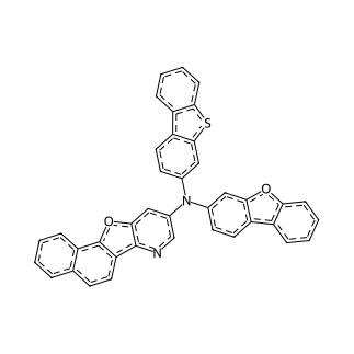 c1ccc2c(c1)ccc1c3ncc(N(c4ccc5c(c4)oc4ccccc45)c4ccc5c(c4)sc4ccccc45)cc3oc21